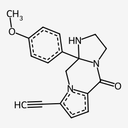 C#Cc1ccc2n1CC1(c3ccc(OC)cc3)NCCN1C2=O